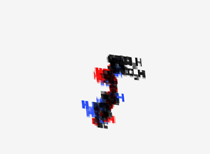 CCC(=O)NCCNC(=O)/N=C(/N)NCCC[C@@H](NC(=O)C(c1ccccc1)c1cccc(NC(=O)CCOCCNC(=O)[C@H]2O[C@@H](CNC(=O)CN3CCN(CC(=O)O)CCN(CC(=O)O)CCN(CC(=O)O)CC3)[C@H](O)[C@@H](O)[C@H]2O)c1)C(=O)NCc1ccc(O)cc1